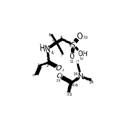 C=CC(=O)NC(C)(C)CS(=O)(=O)O.CC(=O)N(C)C